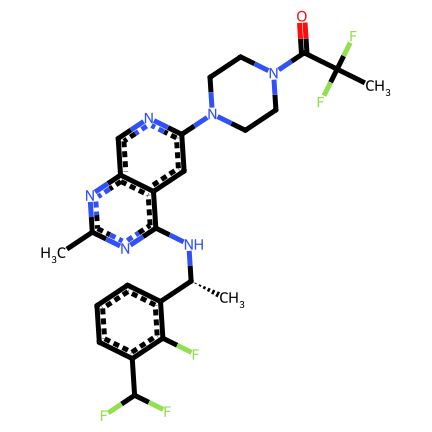 Cc1nc(N[C@H](C)c2cccc(C(F)F)c2F)c2cc(N3CCN(C(=O)C(C)(F)F)CC3)ncc2n1